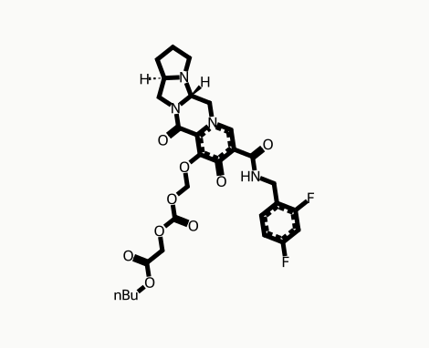 CCCCOC(=O)COC(=O)OCOc1c2n(cc(C(=O)NCc3ccc(F)cc3F)c1=O)C[C@@H]1N(C[C@H]3CCCN31)C2=O